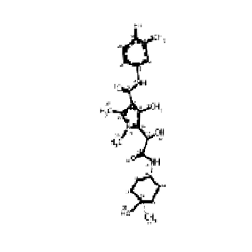 Cc1cc(NC(=O)c2c(C)c(C(O)C(=O)N[C@H]3CC[C@](C)(O)CC3)n(C)c2C)ccc1F